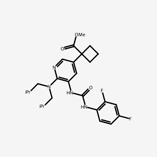 COC(=O)C1(c2cnc(N(CC(C)C)CC(C)C)c(NC(=O)Nc3ccc(F)cc3F)c2)CCC1